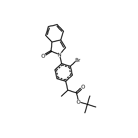 CC(C(=O)OC(C)(C)C)c1ccc(N2C=C3C=CC=CC3C2=O)c(Br)c1